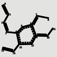 C=C/C=C\c1cc(=C/C)/c(=C\C)cc1C=C